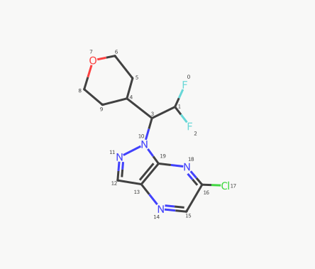 FC(F)C(C1CCOCC1)n1ncc2ncc(Cl)nc21